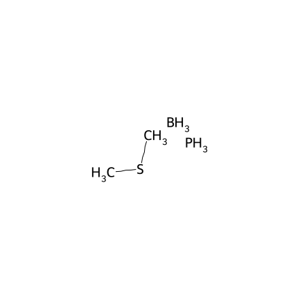 B.CSC.P